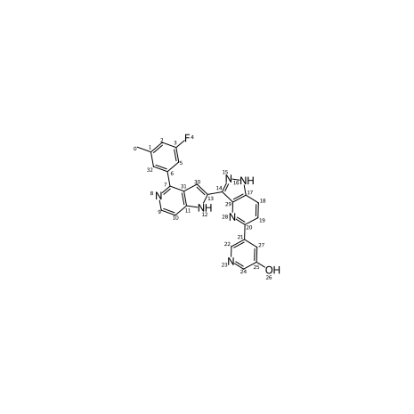 Cc1cc(F)cc(-c2nccc3[nH]c(-c4n[nH]c5ccc(-c6cncc(O)c6)nc45)cc23)c1